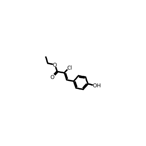 CCOC(=O)C(Cl)=Cc1ccc(O)cc1